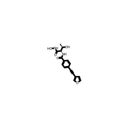 C[C@@H](O)[C@H](NC(=O)c1ccc(C#Cc2ccoc2)cc1)C(=O)NO